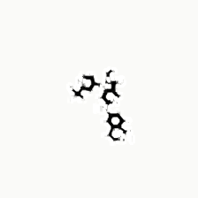 CCn1c(=O)c2cnc(Nc3ccc4c(c3)CCNC4)cc2n1-c1ccnc(C(C)(C)F)c1